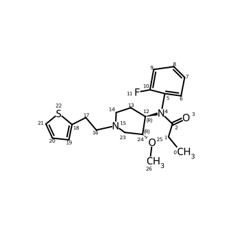 CCC(=O)N(c1ccccc1F)[C@@H]1CCN(CCc2cccs2)C[C@H]1OC